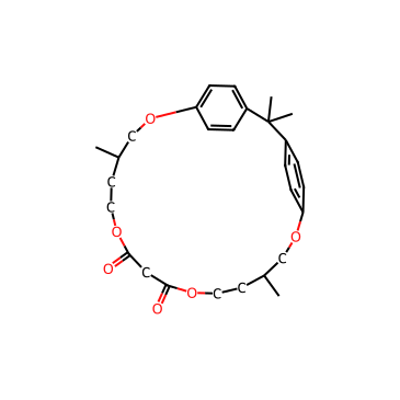 CC1CCOC(=O)CC(=O)OCCC(C)COc2ccc(cc2)C(C)(C)c2ccc(cc2)OC1